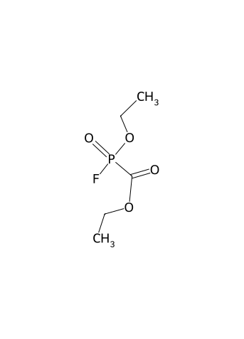 CCOC(=O)P(=O)(F)OCC